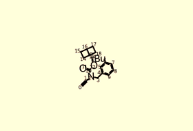 C#CN(Cc1ccccc1)C(=O)OC(C)(C)C.C1CC2CCC12